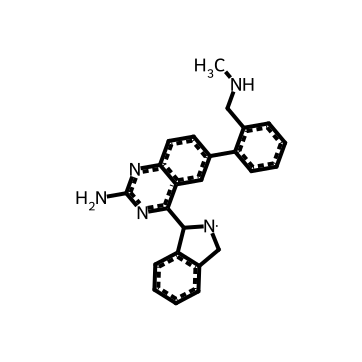 CNCc1ccccc1-c1ccc2nc(N)nc(C3[N]Cc4ccccc43)c2c1